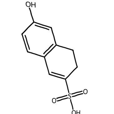 O=S(=O)(O)C1=Cc2ccc(O)cc2CC1